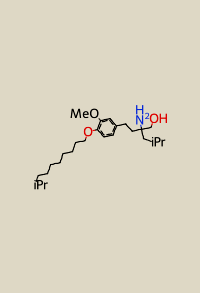 COc1cc(CCC(N)(CO)CC(C)C)ccc1OCCCCCCCCC(C)C